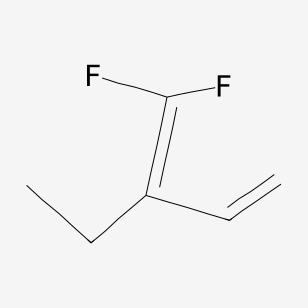 C=CC(CC)=C(F)F